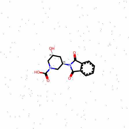 O=C(O)N1C[C@H](O)C[C@@H](N2C(=O)c3ccccc3C2=O)C1